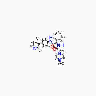 CC(=O)N1CCn2c(ccc2C(=O)N[C@H](C(=O)Nc2ccc(-c3c(C)ccnc3C)cc2)C2CCCCCC2)C1